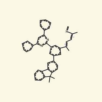 C=N/C(C)=C\C=C(/C)c1cc(-c2ccc3c(c2)-c2ccccc2C3(C)C)cc(-c2nc(-c3ccccc3)cc(-c3ccccc3)n2)c1